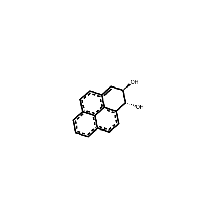 O[C@@H]1C=c2ccc3cccc4ccc(c2c43)[C@H]1O